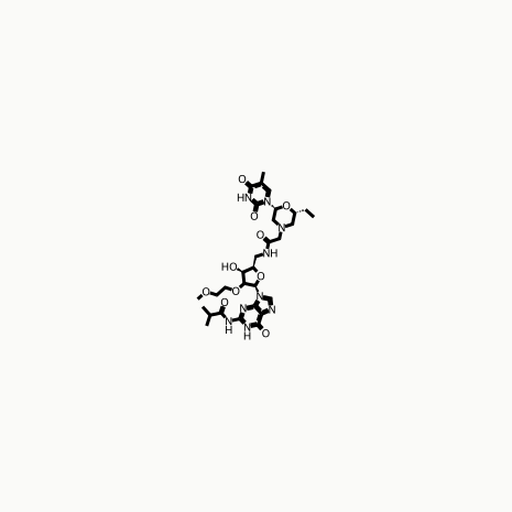 CC[C@@H]1CN(CC(=O)NC[C@H]2O[C@@H](n3cnc4c(=O)[nH]c(NC(=O)C(C)C)nc43)C(OCCOC)[C@H]2O)C[C@H](n2cc(C)c(=O)[nH]c2=O)O1